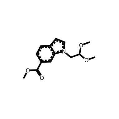 COC(=O)c1ccc2ccn(CC(OC)OC)c2c1